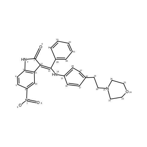 O=C1Nc2ccc([N+](=O)[O-])cc2C1=C(Nc1ccc(CCN2CCOCC2)cc1)c1ccccc1